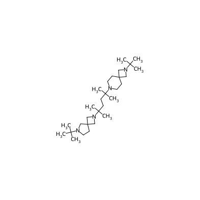 CC(C)(C)N1CC2(CCN(C(C)(C)CCC(C)(C)N3CC4(CCN(C(C)(C)C)C4)C3)CC2)C1